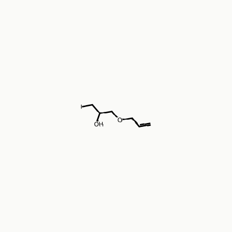 C=CCOCC(O)CI